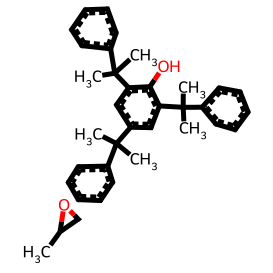 CC(C)(c1ccccc1)c1cc(C(C)(C)c2ccccc2)c(O)c(C(C)(C)c2ccccc2)c1.CC1CO1